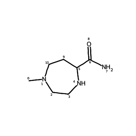 CN1CCNC(C(N)=O)CC1